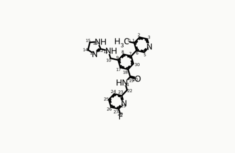 Cc1ccncc1-c1cc(CNC2=NCCN2)cc(C(=O)NCc2cccc(F)n2)c1